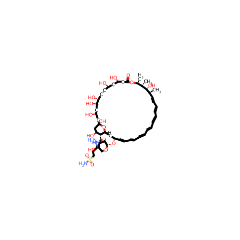 C[C@@H]1[C@H](O)[C@@H](C)/C=C/C=C/C=C/C=C/C=C/C=C/C=C/[C@H](O[C@H]2C[C@@H](N)[C@H](O)CO2)C[C@@H]2O[C@](O)(C[C@@H](O)C[C@@H](O)[C@H](O)CC[C@@H](O)C[C@@H](O)CC(=O)O[C@H]1C)C[C@H](O)[C@H]2C(=O)NCCCS(N)(=O)=O